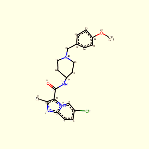 CCc1nc2ccc(Cl)cn2c1C(=O)NC1CCN(Cc2ccc(OC(F)(F)F)cc2)CC1